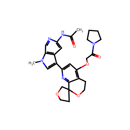 CC(=O)Nc1cc2c(-c3cc(OCC(=O)N4CCCC4)c4c(n3)C3(CCOC3)OCC4)cn(C)c2cn1